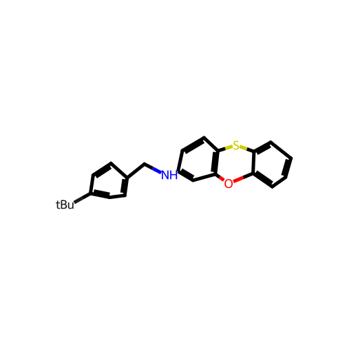 CC(C)(C)c1ccc(CNc2ccc3c(c2)Oc2ccccc2S3)cc1